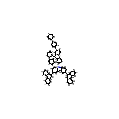 c1ccc(-c2ccc(-c3ccc4c(c3)[Si](c3ccccc3)(c3ccccc3)c3cc(-n5c6ccc(-c7cc8ccccc8c8ccccc78)cc6c6cc(-c7cc8ccccc8c8ccccc78)ccc65)ccc3-4)cc2)cc1